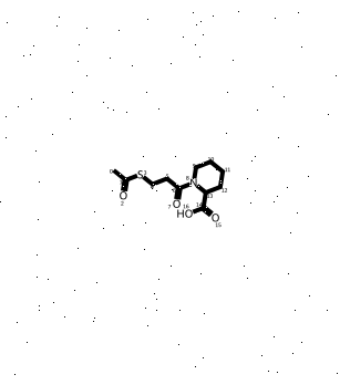 CC(=O)SCCC(=O)N1CCCCC1C(=O)O